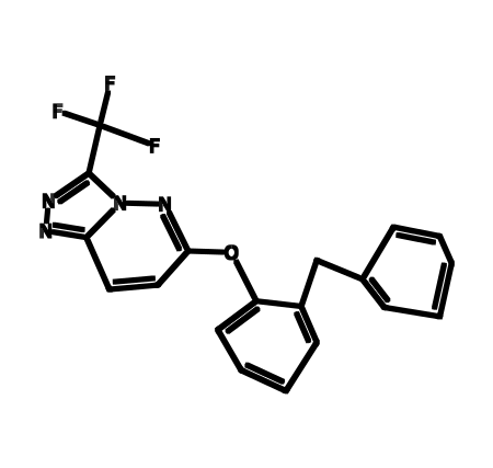 FC(F)(F)c1nnc2ccc(Oc3ccccc3Cc3ccccc3)nn12